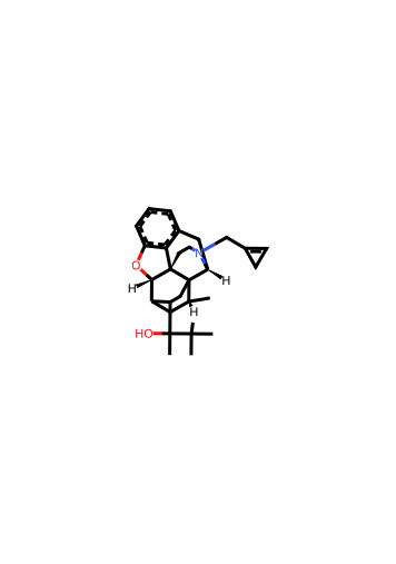 C[C@@H]1CC2C(C(C)(O)C(C)(C)C)CC13[C@H]1Cc4cccc5c4[C@@]3(CCN1CC1=CC1)[C@H]2O5